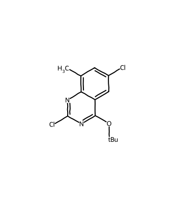 Cc1cc(Cl)cc2c(OC(C)(C)C)nc(Cl)nc12